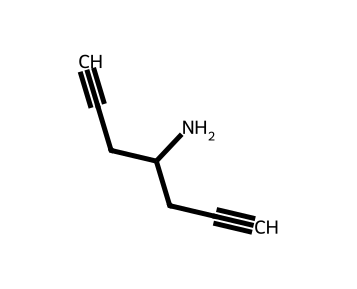 C#CCC(N)CC#C